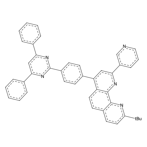 CC(C)(C)c1ccc2ccc3c(-c4ccc(-c5nc(-c6ccccc6)cc(-c6ccccc6)n5)cc4)cc(-c4cccnc4)nc3c2n1